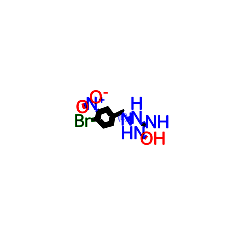 N=C(NO)N/N=C/c1ccc(Br)c([N+](=O)[O-])c1